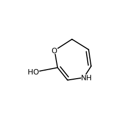 OC1=CNC=CCO1